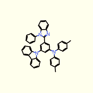 Cc1ccc(N(c2ccc(C)cc2)c2cc(-c3nc4ccccc4n3-c3ccccc3)cc(-n3c4ccccc4c4ccccc43)c2)cc1